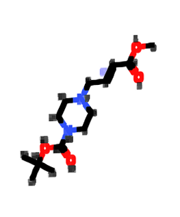 COC(=O)/C=C/CN1CCN(C(=O)OC(C)(C)C)CC1